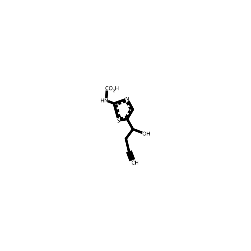 C#CCC(O)c1cnc(NC(=O)O)s1